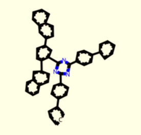 c1ccc(-c2ccc(-c3nc(-c4ccc(-c5ccccc5)cc4)nc(-c4cc(-c5ccc6ccccc6c5)ccc4-c4ccc5ccccc5c4)n3)cc2)cc1